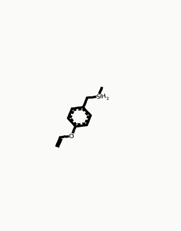 C=COc1ccc(C[SiH2]C)cc1